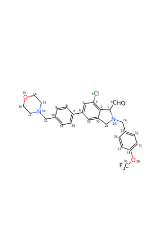 O=CC1c2c(Cl)cc(-c3ccc(CN4CCOCC4)cc3)cc2CN1Cc1ccc(OC(F)(F)F)cc1